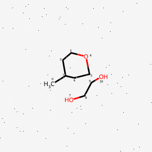 CC1CCOCC1.OCCO